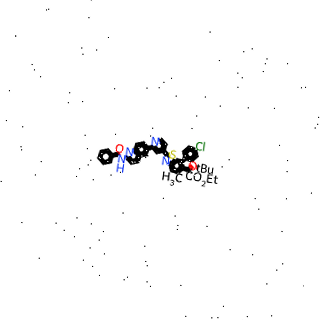 CCOC(=O)[C@@H](OC(C)(C)C)c1c(C)cc2nc(-c3ccnc(-c4ccc5nc(NC(=O)C6CCCCC6)ccc5c4)c3)sc2c1-c1ccc(Cl)cc1